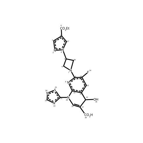 CCOC(=O)c1cnn(C2CN(c3nc4c(cc3F)C(O)C(C(=O)O)=CN4c3ncns3)C2)c1